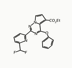 CCOC(=O)c1ccn2nc(-c3cccc(C(F)F)n3)nc(Oc3ccccc3)c12